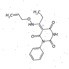 C=CCON/C(CC)=C1/C(=O)NC(=O)N(c2ccccc2)C1=O